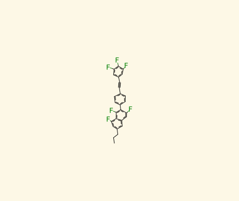 CCCc1cc(F)c2c(F)c(-c3ccc(C#Cc4cc(F)c(F)c(F)c4)cc3)c(F)cc2c1